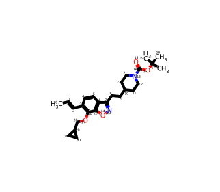 C/C=C/c1ccc2c(CCC3CCN(C(=O)OC(C)(C)C)CC3)noc2c1OCC1CC1